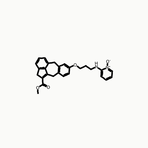 COC(=O)C1=C2Cc3ccc(OCCCNc4cccc[n+]4[O-])cc3Cc3cccc(c32)C1